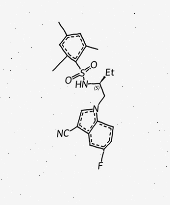 CC[C@@H](Cn1cc(C#N)c2cc(F)ccc21)NS(=O)(=O)c1c(C)cc(C)cc1C